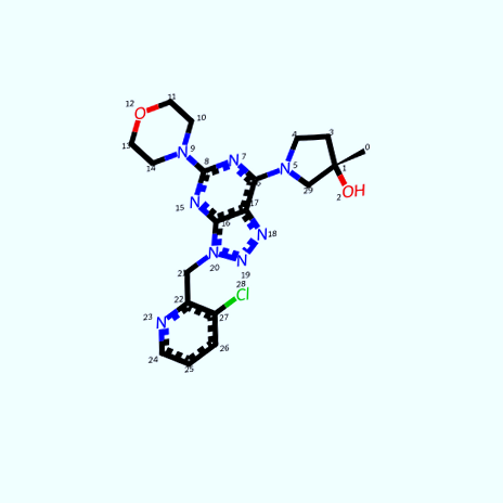 C[C@]1(O)CCN(c2nc(N3CCOCC3)nc3c2nnn3Cc2ncccc2Cl)C1